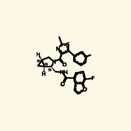 Cc1cccc(-c2sc(C)nc2C(=O)N2C[C@@H]3C[C@@H]3[C@H]2CNC(=O)c2ccc(F)c3occc23)c1